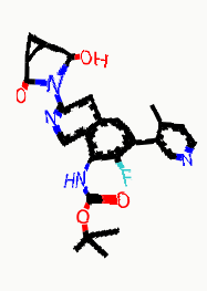 Cc1ccncc1-c1cc2cc(N3C(=O)C4CC4C3O)ncc2c(NC(=O)OC(C)(C)C)c1F